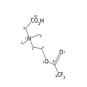 C[N+](C)(CCOC(=O)C(F)(F)F)CC(=O)O